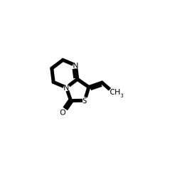 CC=c1sc(=O)n2c1=NCCC2